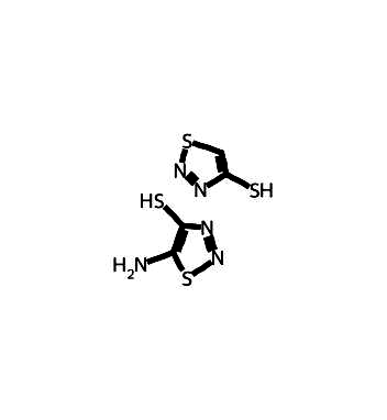 Nc1snnc1S.Sc1csnn1